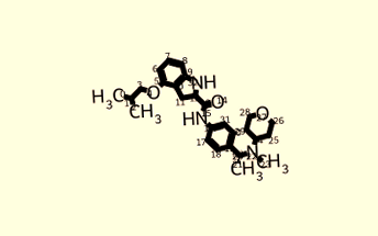 CC(C)COc1cccc2c1CC(C(=O)Nc1ccc([C@@H](C)N(C)C3CCOCC3)cc1)N2